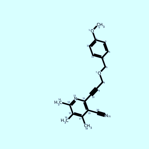 COc1ccc(COCC#Cc2nc(C)c(C)c(C)c2C#N)cc1